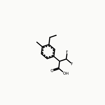 CCc1cc(C(C(=O)O)C(F)F)ccc1C